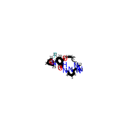 O=C1Nc2cccc(n2)-c2nncn2CCCCOc2cc(F)c(N3CC4CC(C3)O4)cc21